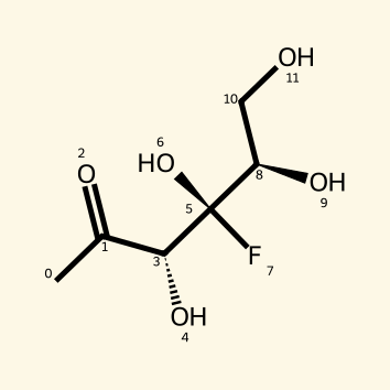 CC(=O)[C@@H](O)[C@@](O)(F)[C@H](O)CO